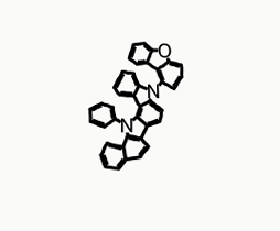 c1ccc(-n2c3c4ccccc4ccc3c3ccc4c(c5ccccc5n4-c4cccc5oc6ccccc6c45)c32)cc1